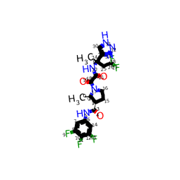 C[C@H]1[C@@H](C(=O)Nc2cc(F)c(F)c(F)c2)CCN1C(=O)C(=O)N[C@](C)(CC(F)F)c1c[nH]nn1